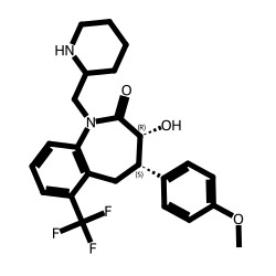 COc1ccc([C@@H]2Cc3c(cccc3C(F)(F)F)N(CC3CCCCN3)C(=O)[C@@H]2O)cc1